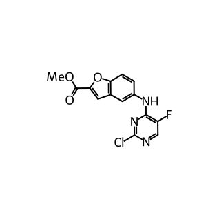 COC(=O)c1cc2cc(Nc3nc(Cl)ncc3F)ccc2o1